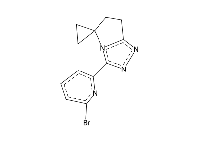 Brc1cccc(-c2nnc3n2C2(CC3)CC2)n1